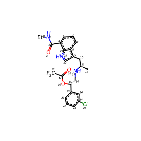 CCNC(=O)c1cccc2c(C[C@@H](C)NC[C@@H](OC(=O)C(F)(F)F)c3cccc(Cl)c3)c[nH]c12